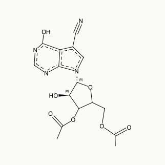 CC(=O)OCC1O[C@@H](n2cc(C#N)c3c(O)ncnc32)[C@H](O)C1OC(C)=O